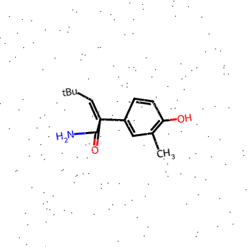 Cc1cc(C(=CC(C)(C)C)C(N)=O)ccc1O